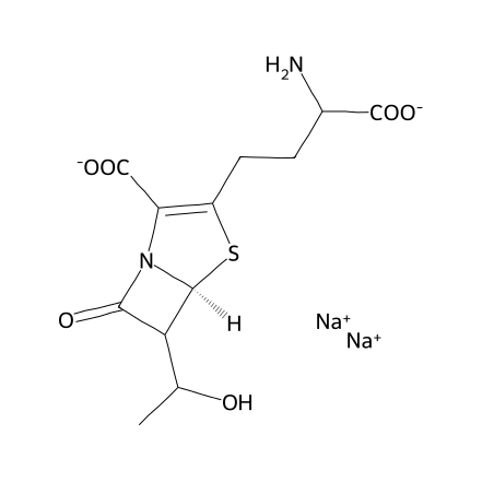 CC(O)C1C(=O)N2C(C(=O)[O-])=C(CCC(N)C(=O)[O-])S[C@@H]12.[Na+].[Na+]